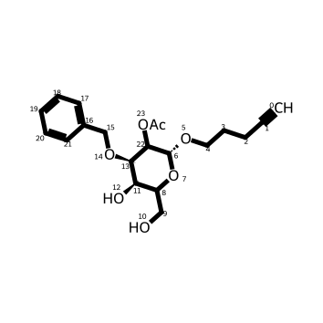 C#CCCCO[C@@H]1OC(CO)[C@@H](O)[C@@H](OCc2ccccc2)C1OC(C)=O